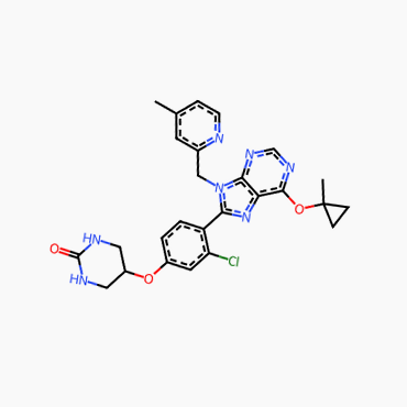 Cc1ccnc(Cn2c(-c3ccc(OC4CNC(=O)NC4)cc3Cl)nc3c(OC4(C)CC4)ncnc32)c1